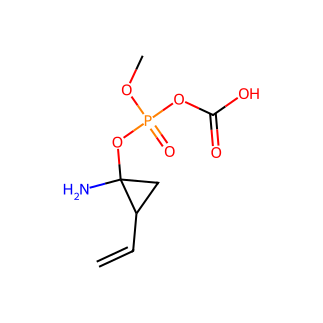 C=CC1CC1(N)OP(=O)(OC)OC(=O)O